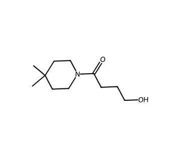 CC1(C)CCN(C(=O)CCCO)CC1